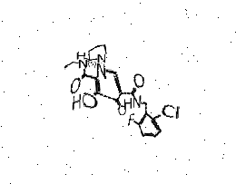 CCN1C(=O)c2c(O)c(=O)c(C(=O)NCc3c(F)cccc3Cl)cn2N2CCCC[C@@H]12